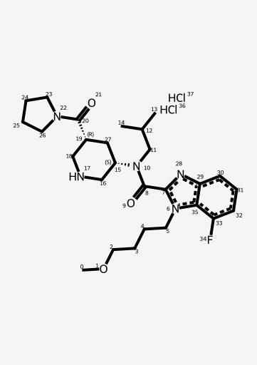 COCCCCn1c(C(=O)N(CC(C)C)[C@@H]2CNC[C@H](C(=O)N3CCCC3)C2)nc2cccc(F)c21.Cl.Cl